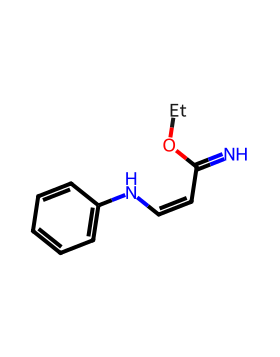 CCOC(=N)/C=C\Nc1ccccc1